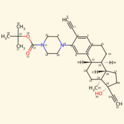 C#Cc1cc2c(cc1N1CCN(C(=O)OC(C)(C)C)CC1)[C@H]1CC[C@@]3(C)[C@@H](CC[C@@]3(O)C#C)[C@@H]1CC2